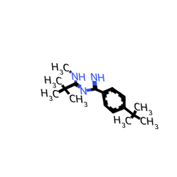 CN/C(=N\C(=N)c1ccc(C(C)(C)C)cc1)C(C)(C)C